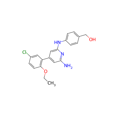 CCOc1ccc(Cl)cc1-c1cc(N)nc(Nc2ccc(CO)cc2)c1